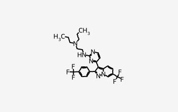 CCCN(CCC)CCNc1nccc(-c2c(-c3ccc(C(F)(F)F)cc3)nn3cc(C(F)(F)F)ccc23)n1